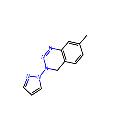 Cc1ccc2c(c1)N=NN(n1cccn1)C2